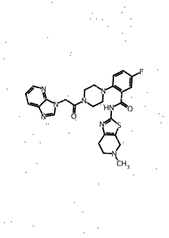 CN1CCc2nc(NC(=O)c3cc(F)ccc3N3CCN(C(=O)Cn4cnc5cccnc54)CC3)sc2C1